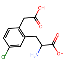 NC(Cc1cc(Cl)ccc1CC(=O)O)C(=O)O